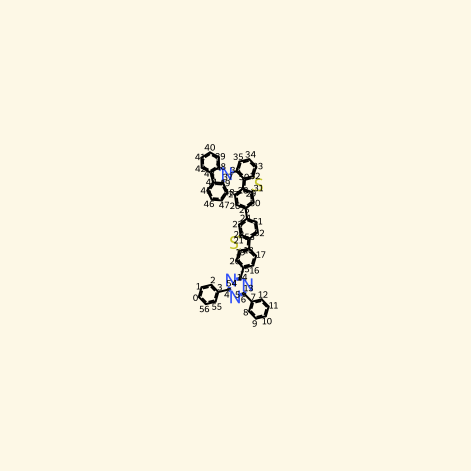 c1ccc(-c2nc(-c3ccccc3)nc(-c3ccc4c(c3)sc3cc(-c5ccc6c(c5)sc5cccc(-n7c8ccccc8c8ccccc87)c56)ccc34)n2)cc1